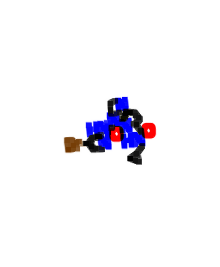 O=C(NCC1CC1)c1ccc2c(n1)N(C(=O)Nc1cc(Br)ccn1)C1CCN2C1